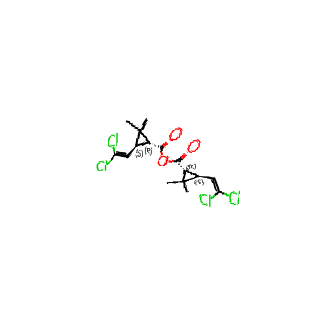 CC1(C)[C@H](C=C(Cl)Cl)[C@H]1C(=O)OC(=O)[C@@H]1[C@@H](C=C(Cl)Cl)C1(C)C